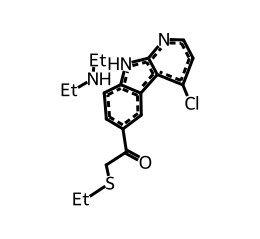 CCNCC.CCSCC(=O)c1ccc2[nH]c3nccc(Cl)c3c2c1